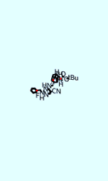 CC(C)(C)OC(=O)N[C@@H]1[C@@H]2CC3C[C@H]1C[C@@](CNc1nc(NCc4ccccc4F)ncc1C#N)(C3)C2